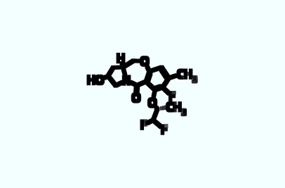 Cc1cc2c(c(O[C@H](C)C(F)F)c1F)C(=O)N1C[C@@H](O)C[C@@H]1CO2